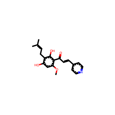 COc1cc(O)c(CC=C(C)C)c(O)c1C(=O)C=Cc1ccncc1